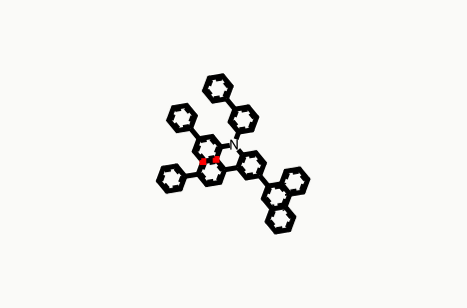 c1ccc(-c2ccc(-c3cc(-c4cc5ccccc5c5ccccc45)ccc3N(c3cccc(-c4ccccc4)c3)c3cccc(-c4ccccc4)c3)cc2)cc1